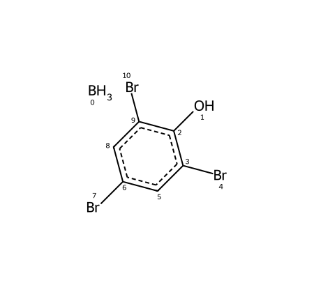 B.Oc1c(Br)cc(Br)cc1Br